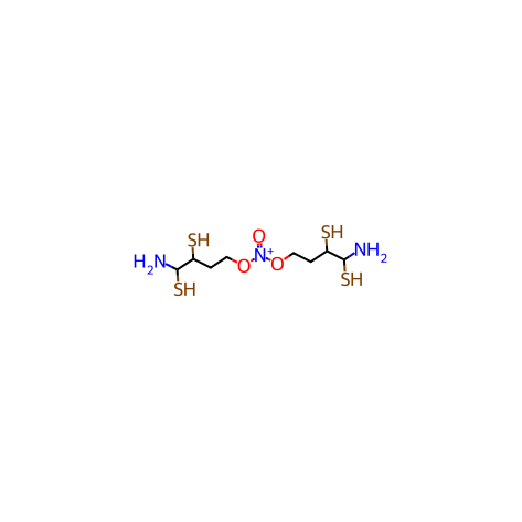 NC(S)C(S)CCO[N+](=O)OCCC(S)C(N)S